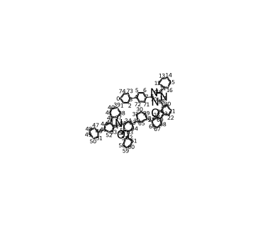 c1ccc(-c2ccc(-c3nc(-c4ccccc4)nc(-c4cccc5c4oc4c(-c6cccc(-c7cc(-n8c9ccccc9c9cc(-c%10ccccc%10)ccc98)c8oc9ccccc9c8c7)c6)cccc45)n3)cc2)cc1